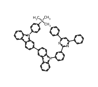 C[Si](C)(C)c1ccc(-n2c3ccccc3c3ccc(-c4ccc5c(c4)c4ccccc4n5-c4cccc(-c5nc(-c6ccccc6)cc(-c6ccccc6)n5)c4)cc32)cc1